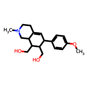 COc1ccc(C2C=C3CCN(C)CC3C(CO)C2CO)cc1